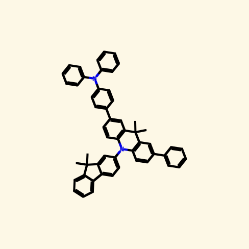 CC1(C)c2ccccc2-c2ccc(N3c4ccc(-c5ccccc5)cc4C(C)(C)c4cc(-c5ccc(N(c6ccccc6)c6ccccc6)cc5)ccc43)cc21